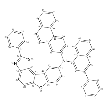 c1ccc(-c2cc(N(c3ccc4c(ccc5ccccc54)c3)c3ccc4oc5ccc6nc(-c7ccccc7)sc6c5c4c3)c3ccccc3c2)cc1